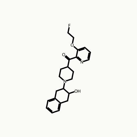 O=C(c1ncccc1OCCF)C1CCN(C2Cc3ccccc3CC2O)CC1